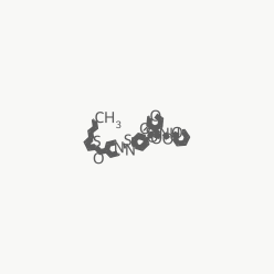 CCCCc1ccc(C(=O)C2CCN(c3nc4ccc(S(=O)(=O)C5(C(=O)NOC6CCCCO6)CCOCC5)cc4s3)CC2)s1